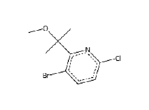 COC(C)(C)c1nc(Cl)ccc1Br